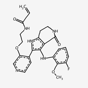 C=CC(=O)NCCOc1cnccc1-c1[nH]c2c(c1Nc1cccc(F)c1OC)C(=O)NCC2